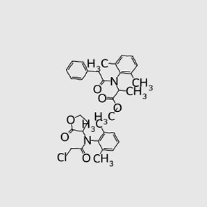 COC(=O)C(C)N(C(=O)Cc1ccccc1)c1c(C)cccc1C.Cc1cccc(C)c1N(C(=O)CCl)C1CCOC1=O